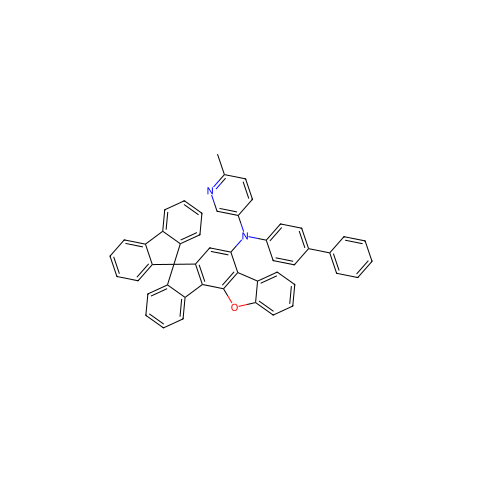 Cc1ccc(N(c2ccc(-c3ccccc3)cc2)c2cc3c(c4oc5ccccc5c24)-c2ccccc2C32c3ccccc3-c3ccccc32)cn1